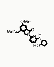 CNCc1cc(OC)cc2c1CN(c1cccc(N[C@@H]3CCC[C@@H]3O)n1)C2=O